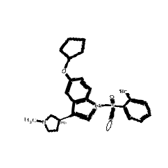 CN1CC[C@H](c2cn(S(=O)(=O)c3ccccc3Br)c3ccc(OC4CCCC4)cc23)C1